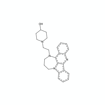 OC1CCN(CCN2CCCn3c4ccccc4c4nc5ccccc5c2c43)CC1